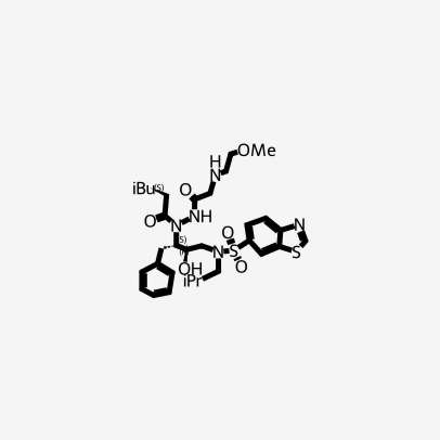 CC[C@H](C)CC(=O)N(NC(=O)CNCCOC)[C@@H](Cc1ccccc1)[C@H](O)CN(CC(C)C)S(=O)(=O)c1ccc2ncsc2c1